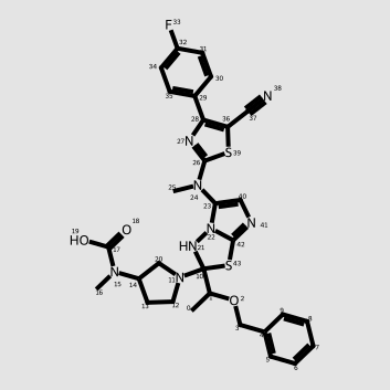 CC(OCc1ccccc1)C1(N2CCC(N(C)C(=O)O)C2)Nn2c(N(C)c3nc(-c4ccc(F)cc4)c(C#N)s3)cnc2S1